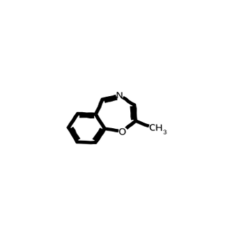 CC1=CN=Cc2ccccc2O1